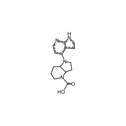 O=C(O)N1CCCC2C1CCN2c1ccnc2[nH]ccc12